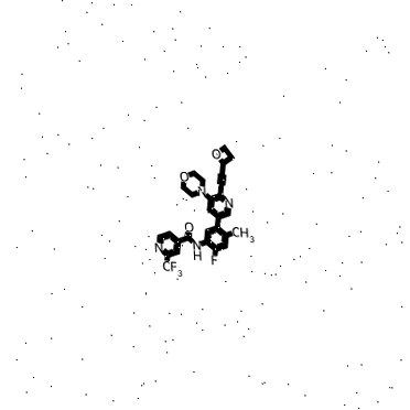 Cc1cc(F)c(NC(=O)c2ccnc(C(F)(F)F)c2)cc1-c1cnc(C#CC2CCO2)c(N2CCOCC2)c1